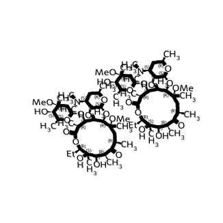 CC[C@H]1OC(=O)[C@H](C)[C@@H](O[C@H]2C[C@@](C)(OC)[C@@H](O)[C@H](C)O2)C(C)[C@@H](O[C@@H]2O[C@H](C)C[C@H](N(C)C)[C@H]2O)[C@](C)(OC)C[C@@H](C)C(=O)[C@H](C)[C@@H](O)[C@]1(C)O.CC[C@H]1OC(=O)[C@H](C)[C@@H](O[C@H]2C[C@@](C)(OC)[C@@H](O)[C@H](C)O2)C(C)[C@@H](O[C@@H]2O[C@H](C)C[C@H](N(C)C)[C@H]2O)[C@](C)(OC)C[C@@H](C)C(=O)[C@H](C)[C@@H](O)[C@]1(C)O